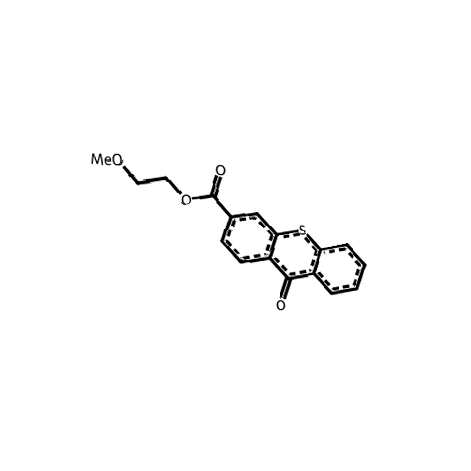 COCCOC(=O)c1ccc2c(=O)c3ccccc3sc2c1